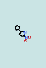 O=[N+]([O-])c1ccc(C2=CCCC2)cn1